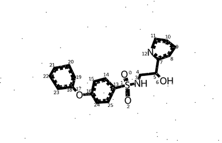 O=S(=O)(NCC(O)c1ccccn1)c1ccc(Oc2ccccc2)cc1